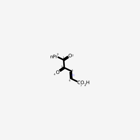 CCCC(=O)C(=O)/C=C/C(=O)O